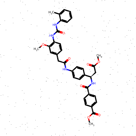 COC(=O)C[C@@H](NC(=O)c1ccc(C(=O)OC)cc1)c1ccc(NC(=O)Cc2ccc(NC(=O)Nc3ccccc3C)c(OC)c2)cc1